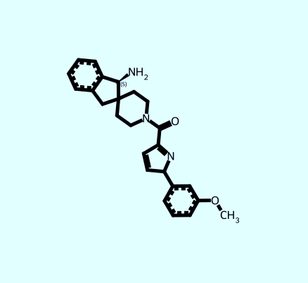 COc1cccc(C2C=CC(C(=O)N3CCC4(CC3)Cc3ccccc3[C@H]4N)=N2)c1